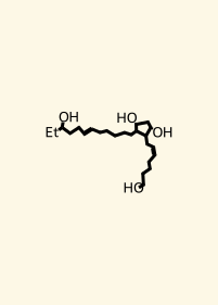 CCC(O)CC/C=C/CCCCCC1C(C/C=C\CCCCO)[C@H](O)C[C@@H]1O